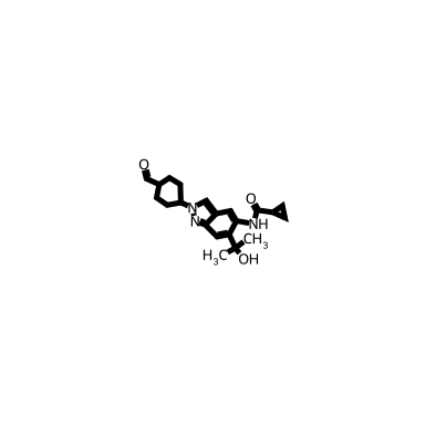 CC(C)(O)c1cc2nn(C3CCC(C=O)CC3)cc2cc1NC(=O)C1CC1